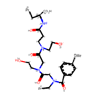 COc1ccc(C(=O)N(CC(=O)N(CCO)CC(=O)N(CCO)CCC(=O)N[C@@H](CC(C)C)C(=O)O)CC(C)C)cc1